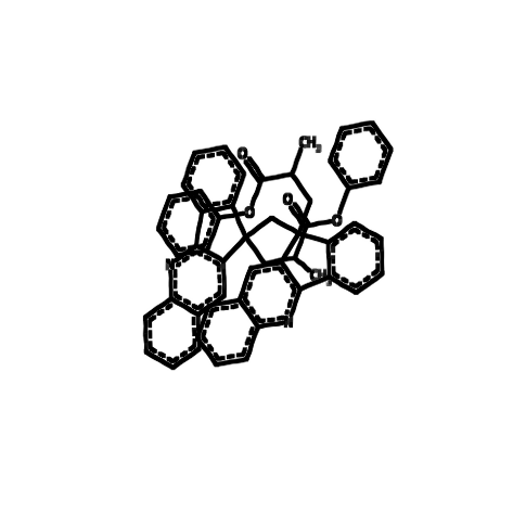 CC(CC1(CC2(CC(C)C(=O)Oc3ccccc3)c3ccccc3-c3nc4ccccc4cc32)c2ccccc2-c2nc3ccccc3cc21)C(=O)Oc1ccccc1